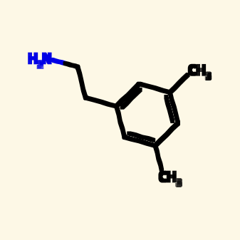 Cc1cc(C)cc(CCN)c1